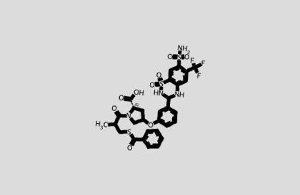 CC(CSC(=O)c1ccccc1)C(=O)N1CC(Oc2cccc(C3Nc4cc(C(F)(F)F)c(S(N)(=O)=O)cc4S(=O)(=O)N3)c2)C[C@H]1C(=O)O